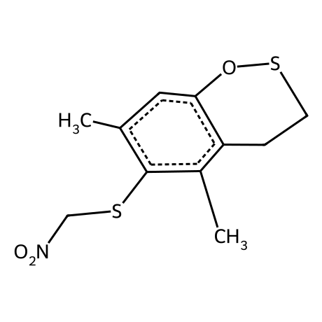 Cc1cc2c(c(C)c1SC[N+](=O)[O-])CCSO2